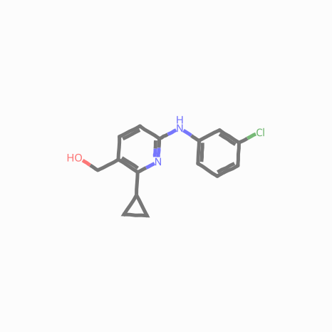 OCc1ccc(Nc2cccc(Cl)c2)nc1C1CC1